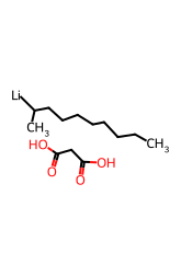 O=C(O)CC(=O)O.[Li][CH](C)CCCCCCCC